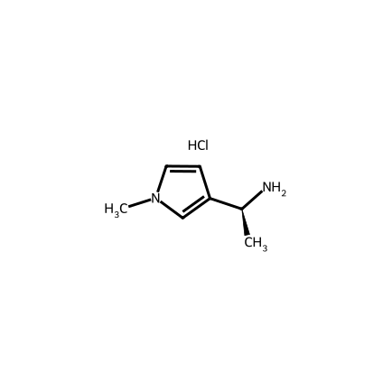 C[C@H](N)c1ccn(C)c1.Cl